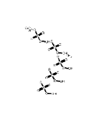 O.O=S(=O)([O-])OO.O=S(=O)([O-])OO.O=S(=O)([O-])OO.O=S(=O)([O-])OO.O=S(=O)([O-])OO.[Al+3].[Ca+2]